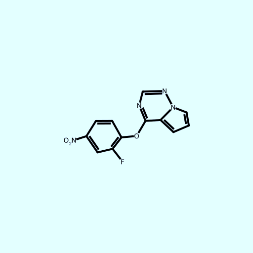 O=[N+]([O-])c1ccc(Oc2ncnn3cccc23)c(F)c1